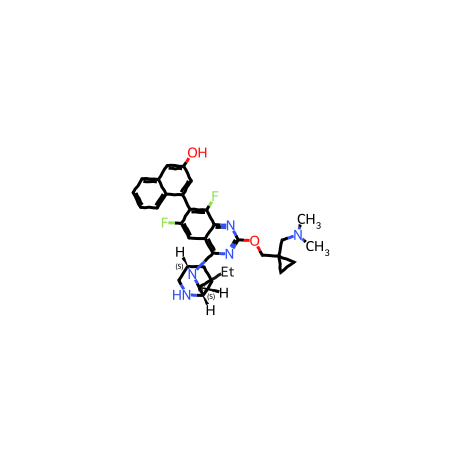 CC[C@@H]1[C@@H]2CC[C@@H](CN2)N1c1nc(OCC2(CN(C)C)CC2)nc2c(F)c(-c3cc(O)cc4ccccc34)c(F)cc12